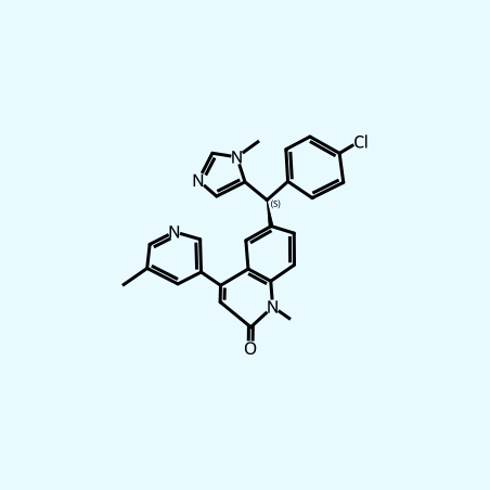 Cc1cncc(-c2cc(=O)n(C)c3ccc([C@H](c4ccc(Cl)cc4)c4cncn4C)cc23)c1